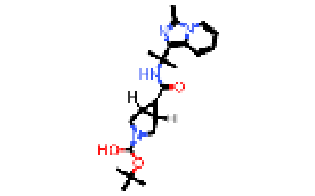 Cc1nc(C(C)(C)NC(=O)[C@H]2[C@@H]3CN(C(O)OC(C)(C)C)C[C@@H]32)c2ccccn12